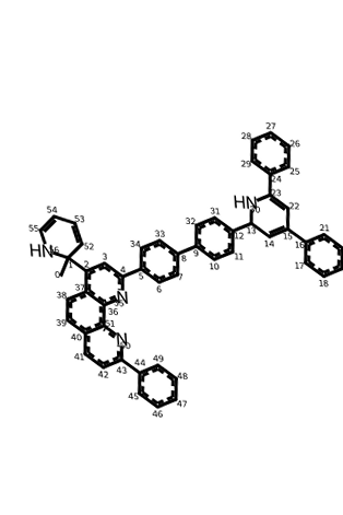 CC1(c2cc(-c3ccc(-c4ccc(C5C=C(c6ccccc6)C=C(c6ccccc6)N5)cc4)cc3)nc3c2ccc2ccc(-c4ccccc4)nc23)C=CC=CN1